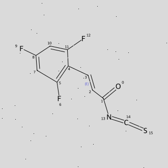 O=C(/C=C/c1c(F)cc(F)cc1F)N=C=S